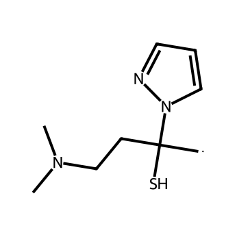 [CH2]C(S)(CCN(C)C)n1cccn1